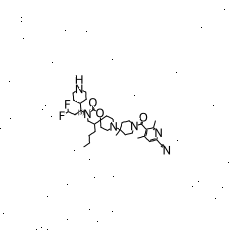 CCCCC1CN([C@@H](CC(F)F)C2CCNCC2)C(=O)OC12CCN(C1(C)CCN(C(=O)c3c(C)cc(C#N)nc3C)CC1)CC2